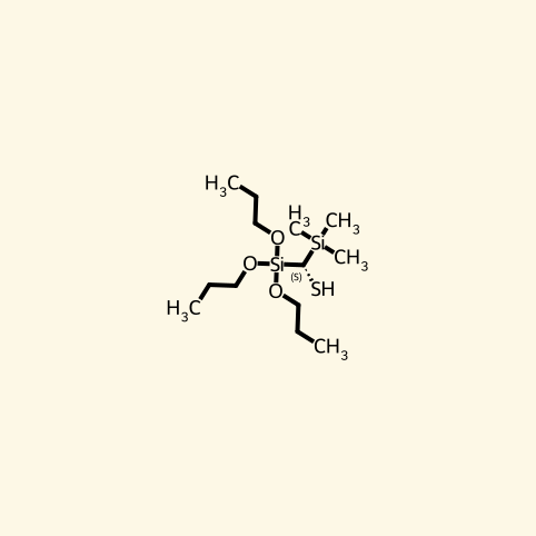 CCCO[Si](OCCC)(OCCC)[C@@H](S)[Si](C)(C)C